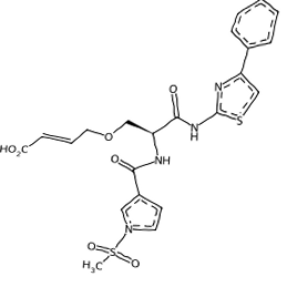 CS(=O)(=O)n1ccc(C(=O)N[C@@H](COC/C=C/C(=O)O)C(=O)Nc2nc(-c3ccccc3)cs2)c1